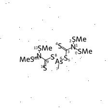 CSN(SC)C(=S)S[As](C)SC(=S)N(SC)SC